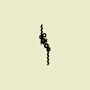 CCCCCCCCCOc1ccc(-c2ncc(OC(=O)CCCCCC)cn2)cc1